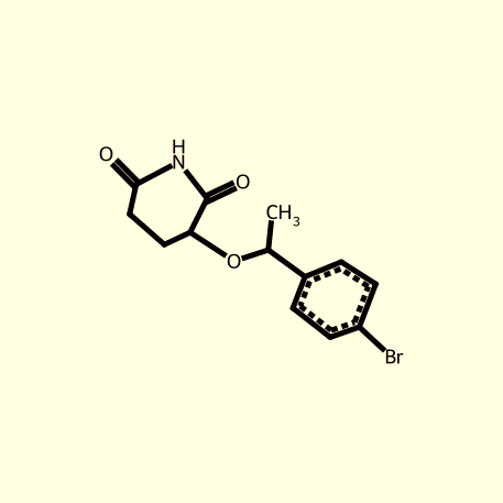 CC(OC1CCC(=O)NC1=O)c1ccc(Br)cc1